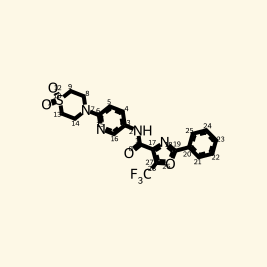 O=C(Nc1ccc(N2CCS(=O)(=O)CC2)nc1)c1nc(-c2ccccc2)oc1C(F)(F)F